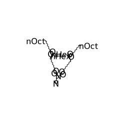 CCCCCCCC/C=C\CCCCCCCC(=O)OC(C/C=C\CCCCCCCCOC(=O)CCN(CCC(=O)OCCCCCCCC/C=C\CC(CCCCCC)OC(=O)CCCCCCC/C=C\CCCCCCCC)CCc1ccncc1)CCCCCC